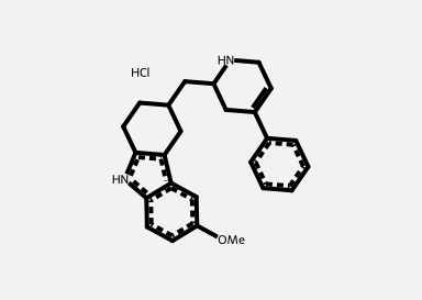 COc1ccc2[nH]c3c(c2c1)CC(CC1CC(c2ccccc2)=CCN1)CC3.Cl